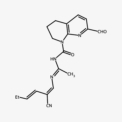 CC/C=C/C(C#N)=C\N=C(/C)NC(=O)N1CCCc2ccc(C=O)nc21